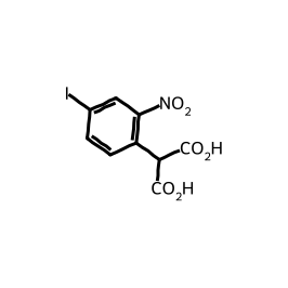 O=C(O)C(C(=O)O)c1ccc(I)cc1[N+](=O)[O-]